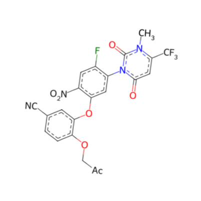 CC(=O)COc1ccc(C#N)cc1Oc1cc(-n2c(=O)cc(C(F)(F)F)n(C)c2=O)c(F)cc1[N+](=O)[O-]